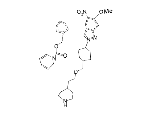 COc1cc2nn(C3CCC(COCCC4CCNCC4)CC3)cc2cc1[N+](=O)[O-].O=C(OCc1ccccc1)N1C=CC=CC1